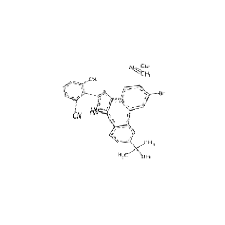 C#N.CC(C)(O)c1ccc2c(c1)c1cc(Br)ccc1c1nc(-c3c(C#N)cccc3C#N)[nH]c21.[Cu]